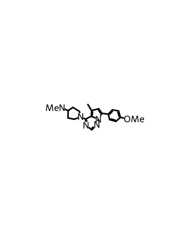 CNC1CCN(c2ncnn3c(-c4ccc(OC)cc4)cc(C)c23)CC1